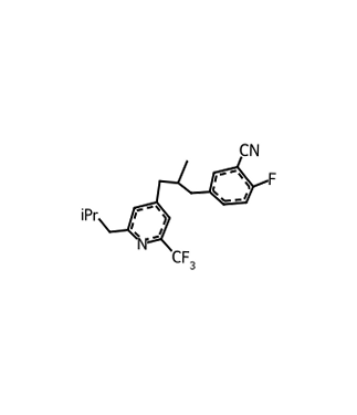 CC(C)Cc1cc(CC(C)Cc2ccc(F)c(C#N)c2)cc(C(F)(F)F)n1